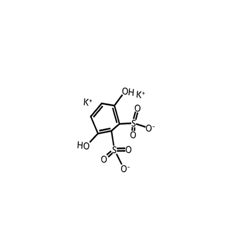 O=S(=O)([O-])c1c(O)ccc(O)c1S(=O)(=O)[O-].[K+].[K+]